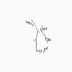 O=C(O)CCC(=O)O.OO